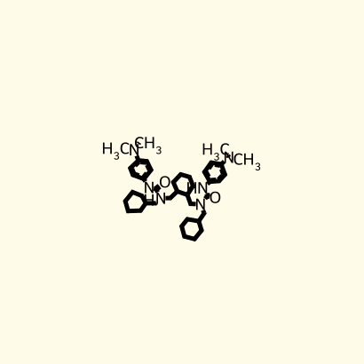 CN(C)c1ccc(NC(=O)N(CC2CCCCC2)CC2CCCCC2CN(CC2CCCCC2)C(=O)Nc2ccc(N(C)C)cc2)cc1